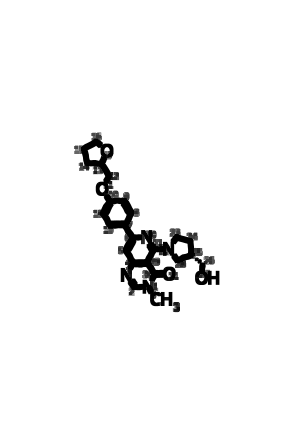 Cn1cnc2cc(-c3ccc(OCC4CCCO4)cc3)nc(N3CC[C@H](CO)C3)c2c1=O